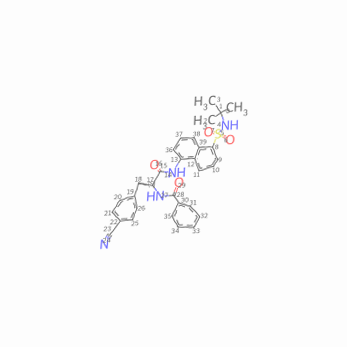 CC(C)(C)NS(=O)(=O)c1cccc2c(NC(=O)[C@H](Cc3ccc(C#N)cc3)NC(=O)c3ccccc3)cccc12